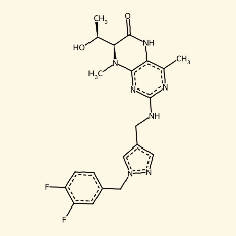 Cc1nc(NCc2cnn(Cc3ccc(F)c(F)c3)c2)nc2c1NC(=O)[C@H]([C@H](C)O)N2C